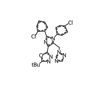 CC(C)(C)c1nnc(-c2nc(-c3ccccc3Cl)n(-c3ccc(Cl)cc3)c2Cn2cncn2)o1